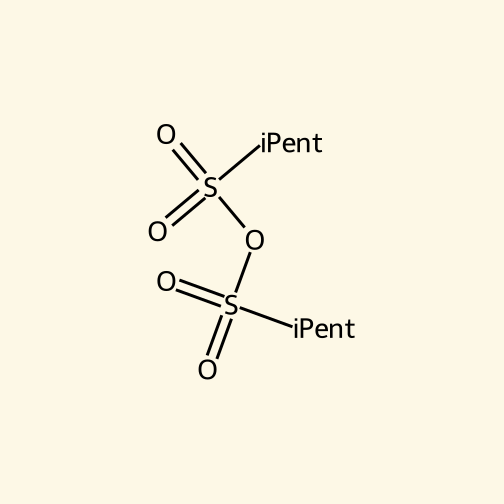 CCCC(C)S(=O)(=O)OS(=O)(=O)C(C)CCC